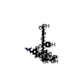 C/C=C(\C)Cc1cc(OC)c(Cl)c(N(C)C(=O)C[C@H](OC(=O)[C@H](C)N(C)C(=O)CCC(=O)N(CCOCCOCCC(=O)O)C2CCNCC2)[C@@]2(C)C[C@](C)([C@@H]3C[C@](O)([C@@H](C)OC)NC(=O)O3)O2)c1